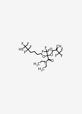 C=C(C(=O)OC(OCCCCC(F)(F)C(F)(F)S)(C(=O)N(CC)CC)C(F)(F)F)C(F)(F)F